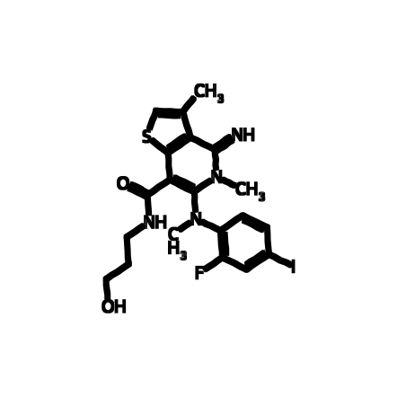 Cc1csc2c(C(=O)NCCCO)c(N(C)c3ccc(I)cc3F)n(C)c(=N)c12